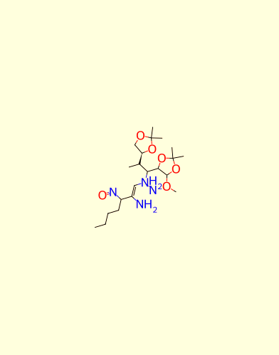 CCCCC(N=O)/C(N)=C/N(N)C(C1OC(C)(C)OC1OC)C(C)[C@H]1COC(C)(C)O1